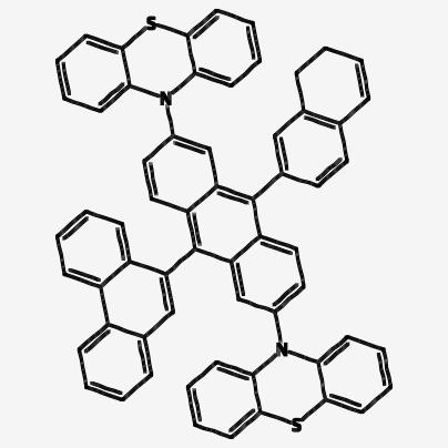 C1=Cc2ccc(-c3c4cc(N5c6ccccc6Sc6ccccc65)ccc4c(-c4cc5ccccc5c5ccccc45)c4cc(N5c6ccccc6Sc6ccccc65)ccc34)cc2CC1